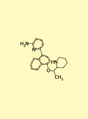 CC(Oc1ccc(-c2cccc(N)n2)c2ccccc12)C1CCCCN1